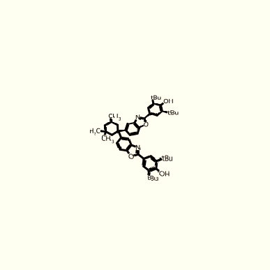 CC1CC(C)(C)CC(c2ccc3oc(-c4cc(C(C)(C)C)c(O)c(C(C)(C)C)c4)nc3c2)(c2ccc3oc(-c4cc(C(C)(C)C)c(O)c(C(C)(C)C)c4)nc3c2)C1